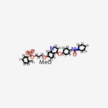 COc1cc2c(Oc3ccc(NC(=O)c4ccccc4)cc3)ccnc2cc1OCCCOS(=O)(=O)c1ccccc1C